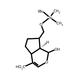 CC(C)(C)[Si](C)(C)OCC1CCC2C(C(=O)O)=COC(O)[C@H]12